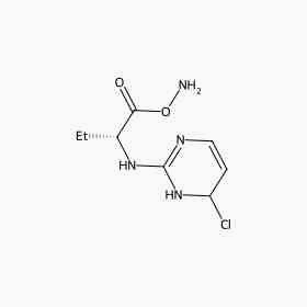 CC[C@@H](NC1=NC=CC(Cl)N1)C(=O)ON